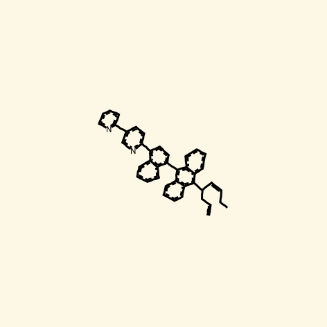 C=CCC(/C=C\CC)c1c2ccccc2c(-c2ccc(-c3ccc(-c4ccccn4)cn3)c3ccccc23)c2ccccc12